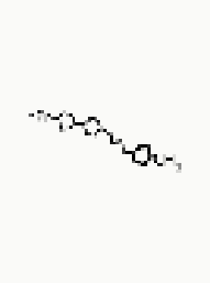 CCCC1CCC(C2CCC(CCCCc3ccc(C)cc3)CC2)CC1